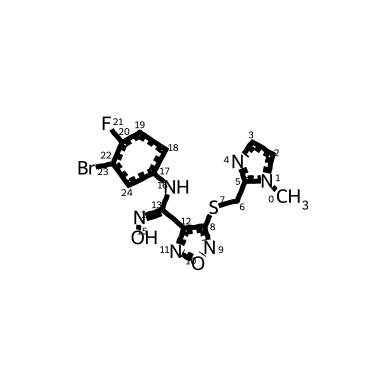 Cn1ccnc1CSc1nonc1C(=NO)Nc1ccc(F)c(Br)c1